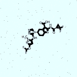 Cn1nc(OC(F)F)cc1Nc1nncn1[C@H]1CCc2sc(NC(=O)[C@H]3CC3(F)F)c(C(=O)O)c2C1